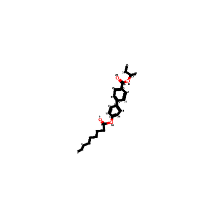 CCCCCCCCC(=O)Oc1ccc(-c2ccc(C(=O)OC(C)CC)cc2)cc1